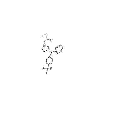 O=C(O)CN1CCC(C(c2ccccc2)c2ccc(C(F)(F)F)cc2)C1